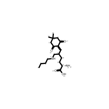 CCCCNCC(C=C1C(=O)CC(C)(C)CC1=O)CC[C@H](N)C(=O)O